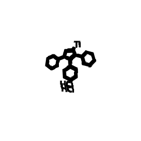 Cl.Cl.[Ti][C]1=CC(C2CCCCC2)C(C2CCCCC2)=C1C1CCCCC1